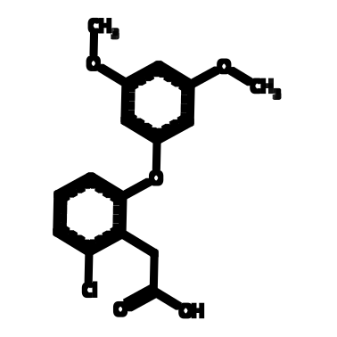 COc1cc(OC)cc(Oc2cccc(Cl)c2CC(=O)O)c1